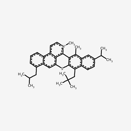 Cc1c2c(c(CC(C)(C)C)c3ccc(C(C)C)cc13)Sc1cc3c(CC(C)C)cccc3c3cc[n+](C)c-2c13